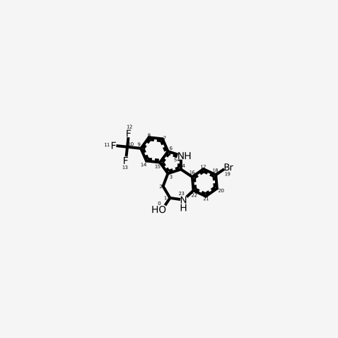 OC1Cc2c([nH]c3ccc(C(F)(F)F)cc23)-c2cc(Br)ccc2N1